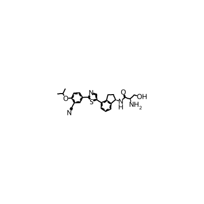 CC(C)Oc1ccc(-c2ncc(-c3cccc4c3CC[C@H]4NC(=O)[C@H](N)CO)s2)cc1C#N